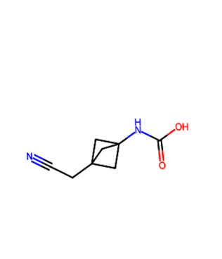 N#CCC12CC(NC(=O)O)(C1)C2